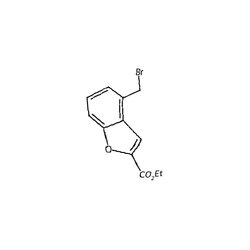 CCOC(=O)c1cc2c(CBr)cccc2o1